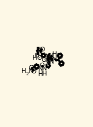 CN1CC(=O)N([C@H]2C[C@@H](n3cnc4c(NCC(c5ccccc5)c5ccccc5)nc(N5CCC(NC(=O)Nc6cccc(S(N)(=O)=O)c6)C5)nc43)[C@H](O)[C@@H]2O)C1=O